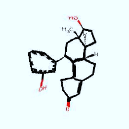 C[C@]12C[C@H](c3cccc(O)c3)C3=C4CCC(=O)C=C4CC[C@H]3[C@@H]1CC[C@@H]2O